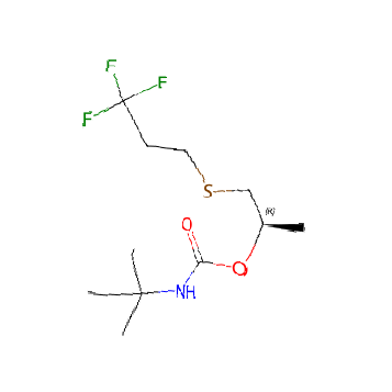 C[C@H](CSCCC(F)(F)F)OC(=O)NC(C)(C)C